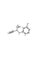 Cc1cccc(CC(O)C#N)c1